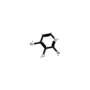 CC(=O)c1ccnc(Br)c1Cl